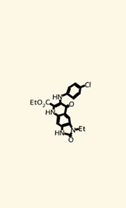 CCOC(=O)c1[nH]c2cc3[nH]c(=O)n(CC)c3cc2c(=O)c1Nc1ccc(Cl)cc1